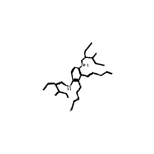 CCCCCc1c(NCC(CC)C(C)CC)ccc(NCC(CC)C(C)CC)c1CCCCC